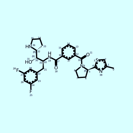 Cc1csc([C@H]2CCCN2C(=O)c2cccc(C(=O)N[C@@H](Cc3cc(F)cc(F)c3)[C@H](O)[C@H]3CCCN3)c2)n1